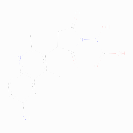 Cc1nc2ccc(N)cc2c(C)c1C1CC(=O)N(N(O)C(=O)O)C1=O